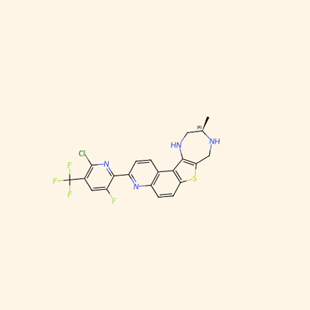 C[C@@H]1CNc2c(sc3ccc4nc(-c5nc(Cl)c(C(F)(F)F)cc5F)ccc4c23)CN1